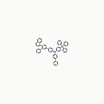 c1ccc(-c2ccc(N(c3ccc(-c4ccc(-c5cccc6ccccc56)c(-c5ccccc5)c4)cc3)c3ccc([Si](c4ccccc4)(c4ccccc4)c4ccccc4)cc3)cc2)cc1